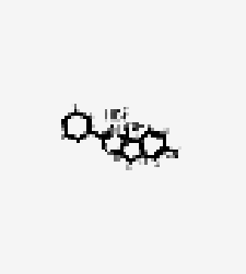 Br.OC12N=C(C3CCCCC3)SC1Cc1cc(Cl)ccc12